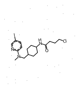 CN(CC1CCC(NC(=O)CCCCl)CC1)c1ccc(I)cn1